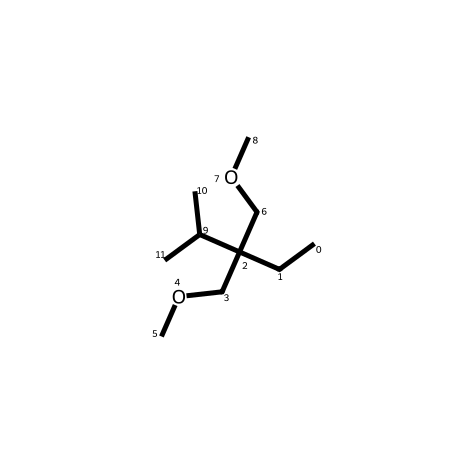 CCC(COC)(COC)C(C)C